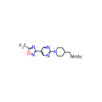 CC(=O)NCC1CCN(c2ncc(-c3noc(C(F)(F)F)n3)cn2)CC1